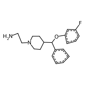 NCCN1CCC(C(Oc2cccc(F)c2)c2ccccc2)CC1